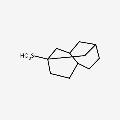 O=S(=O)(O)C12CCC3CCC(CC3C1)C2